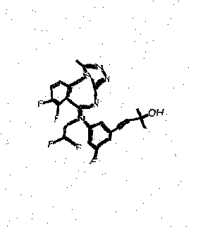 Cc1nnc2nc(N(CC(F)F)c3cc(F)cc(C#CC(C)(C)O)c3)c3c(F)c(F)ccc3n12